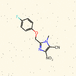 Cn1c(COc2ccc(F)cc2)nc([N+](=O)[O-])c1C#N